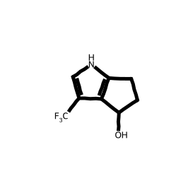 OC1CCc2[nH]cc(C(F)(F)F)c21